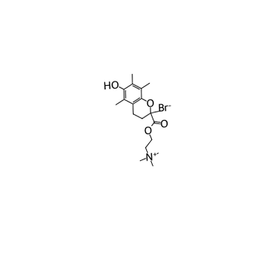 Cc1c(C)c2c(c(C)c1O)CCC(C)(C(=O)OCC[N+](C)(C)C)O2.[Br-]